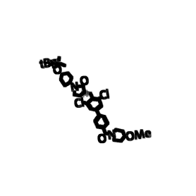 COC1CCN(C(=O)c2ccc(-c3cc(Cl)c(C[C@@H]4CCN([C@H]5CC[C@@H](O[Si](C)(C)C(C)(C)C)CC5)C4=O)c(Cl)c3)cc2)CC1